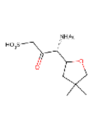 CC(=O)N[C@@H](C(=O)CS(=O)(=O)O)C1CC(C)(C)CO1